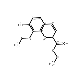 CCCc1c(O)ccc2c1OC(C(=O)OCC)C=C2